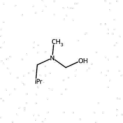 CC(C)CN(C)CO